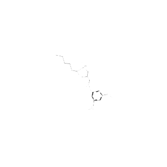 CCCCCC1OC(COc2cc(OC)cc(OC)c2)C[C@H]1C